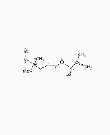 C=C(C)C(=O)OCCC[Si](C)(OC)OCC